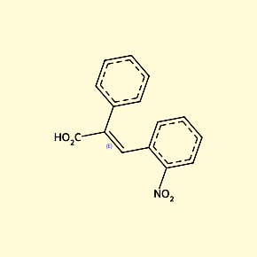 O=C(O)/C(=C/c1ccccc1[N+](=O)[O-])c1ccccc1